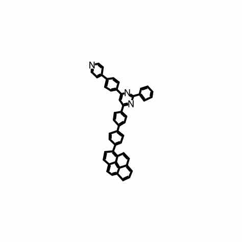 c1ccc(-c2nc(-c3ccc(-c4ccncc4)cc3)cc(-c3ccc(-c4ccc(-c5ccc6ccc7cccc8ccc5c6c78)cc4)cc3)n2)cc1